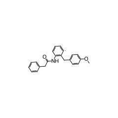 COc1ccc(Cc2[c]cccc2NC(=O)Cc2ccccc2)cc1